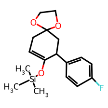 C[Si](C)(C)OC1=CCC2(CC1c1ccc(F)cc1)OCCO2